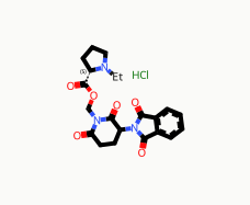 CCN1CCC[C@H]1C(=O)OCN1C(=O)CCC(N2C(=O)c3ccccc3C2=O)C1=O.Cl